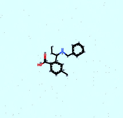 CCC(NCc1ccccc1)c1cc(C)ccc1C(=O)O